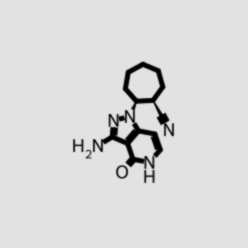 N#C[C@@H]1CCCCC[C@@H]1n1nc(N)c2c(=O)[nH]ccc21